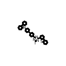 Ic1nc(-c2ccc(-c3ccc(-n4c5ccccc5c5ccccc54)cc3)cc2)nc(-c2cccc3c2sc2ccccc23)n1